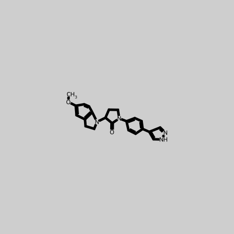 COc1ccc2c(c1)CCN2C1CCN(c2ccc(-c3cn[nH]c3)cc2)C1=O